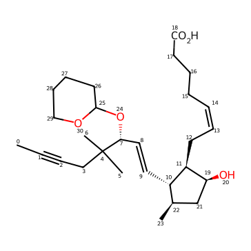 CC#CCC(C)(C)[C@@H](/C=C/[C@@H]1[C@@H](C/C=C\CCCC(=O)O)[C@@H](O)C[C@H]1C)OC1CCCCO1